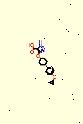 O=C(O)c1[nH]nnc1O[C@H]1CC[C@H](c2ccc(OC3CC3)cc2)CC1